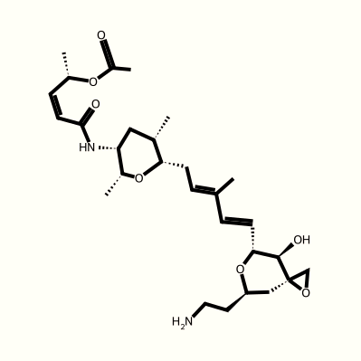 CC(=O)O[C@@H](C)/C=C\C(=O)N[C@@H]1C[C@H](C)[C@H](C/C=C(C)/C=C/[C@H]2O[C@H](CCN)C[C@@]3(CO3)[C@@H]2O)O[C@@H]1C